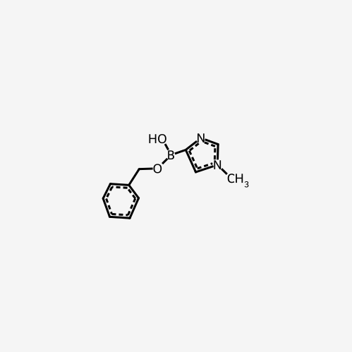 Cn1cnc(B(O)OCc2ccccc2)c1